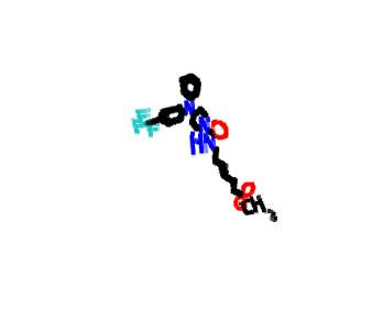 COC(=O)CCCCCCNC(=O)N1CCC(N(c2ccccc2)c2ccc(C(F)(F)F)cc2)CC1